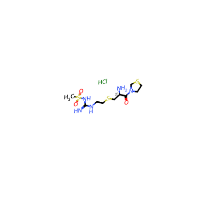 CS(=O)(=O)NC(=N)NCCSC[C@@H](N)C(=O)N1CCSC1.Cl